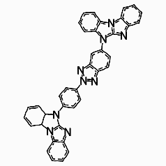 C1=CC2C(C=C1)n1c(nc3ccccc31)N2c1ccc(-n2nc3ccc(-n4c5ccccc5n5c6ccccc6nc45)cc3n2)cc1